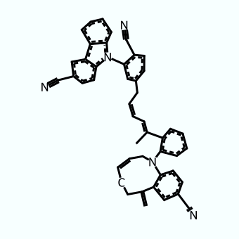 C=C1CC/C=C\CN(c2ccccc2/C(C)=C/C=C\Cc2ccc(C#N)c(-n3c4ccccc4c4cc(C#N)ccc43)c2)c2ccc(C#N)cc21